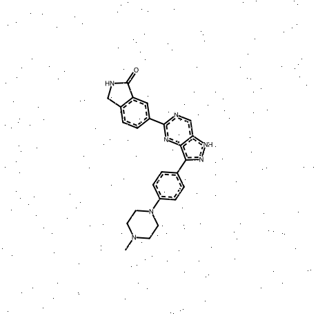 CN1CCN(c2ccc(-c3n[nH]c4cnc(-c5ccc6c(c5)C(=O)NC6)nc34)cc2)CC1